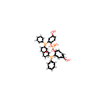 O=[PH](Oc1ccc(O)cc1P(c1ccccc1)c1ccccc1)Oc1ccc(O)cc1P(c1ccccc1)c1ccccc1